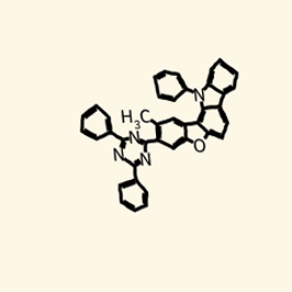 Cc1cc2c(cc1-c1nc(-c3ccccc3)nc(-c3ccccc3)n1)oc1ccc3c4ccccc4n(-c4ccccc4)c3c12